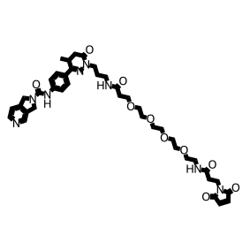 CC1CC(=O)N(CCCNC(=O)CCOCCOCCOCCOCCNC(=O)CCN2C(=O)C=CC2=O)N=C1c1ccc(NC(=O)N2Cc3ccncc3C2)cc1